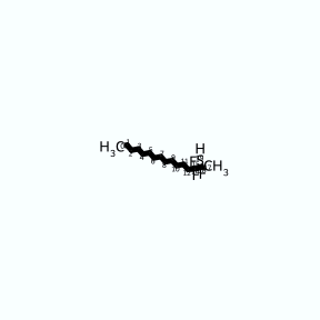 CCCCCCCCCCCCCC(F)(F)C(C)(F)S